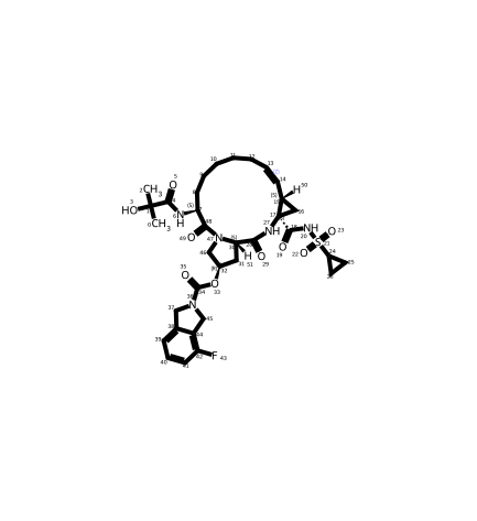 CC(C)(O)C(=O)N[C@H]1CCCCC/C=C\[C@@H]2C[C@@]2(C(=O)NS(=O)(=O)C2CC2)NC(=O)[C@@H]2C[C@@H](OC(=O)N3Cc4cccc(F)c4C3)CN2C1=O